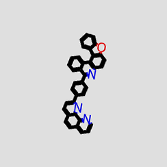 c1cnc2c(c1)ccc1ccc(-c3ccc(-c4nc5ccc6oc7ccccc7c6c5c5ccccc45)cc3)nc12